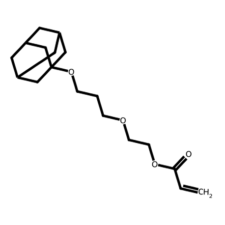 C=CC(=O)OCCOCCCOC12CC3CC(CC(C3)C1)C2